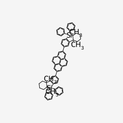 CC12CCCCC1(C)[Si](c1ccccc1)(c1ccccc1)c1ccc(-c3cc4ccc5cc(-c6ccc7c(c6)C6(C)CCCCC6(C)[Si]7(c6ccccc6)c6ccccc6)cc6ccc(c3)c4c56)cc12